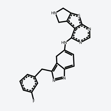 Fc1cccc(CC2=C3CC(Nc4ncnc5sc6c(c45)CNC6)=CC=C3N=N2)c1